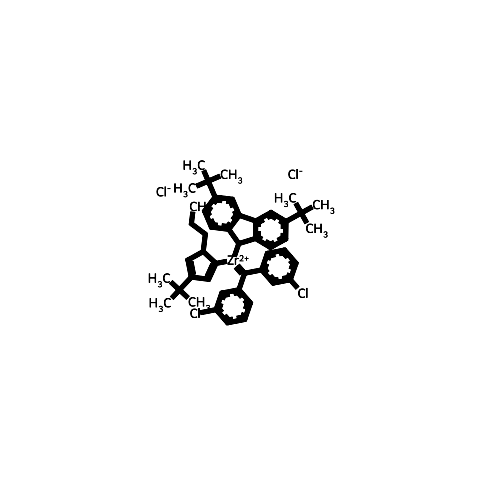 CCCC1C=C(C(C)(C)C)C=[C]1[Zr+2](=[C](c1cccc(Cl)c1)c1cccc(Cl)c1)[CH]1c2ccc(C(C)(C)C)cc2-c2cc(C(C)(C)C)ccc21.[Cl-].[Cl-]